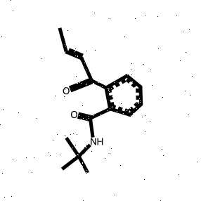 C/C=C/C(=O)c1ccccc1C(=O)NC(C)(C)C